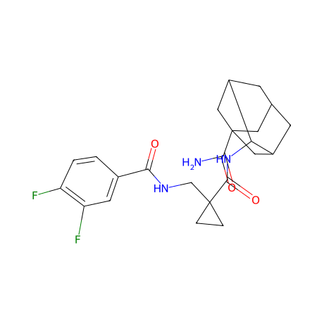 NC(=O)C12CC3CC(C1)C(NC(=O)C1(CNC(=O)c4ccc(F)c(F)c4)CC1)C(C3)C2